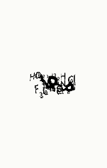 O=C(Nc1c(Cl)cccc1Cl)c1cccc2c1nc(C(F)(F)F)n2CCO